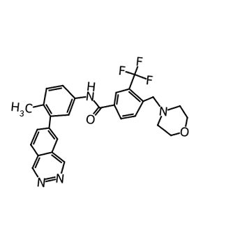 Cc1ccc(NC(=O)c2ccc(CN3CCOCC3)c(C(F)(F)F)c2)cc1-c1ccc2cnncc2c1